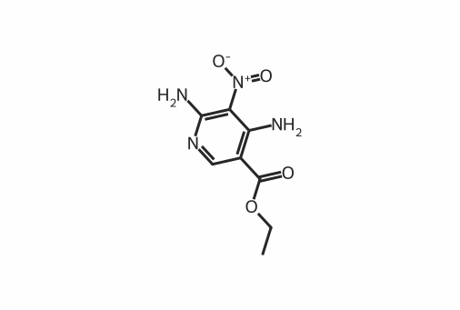 CCOC(=O)c1cnc(N)c([N+](=O)[O-])c1N